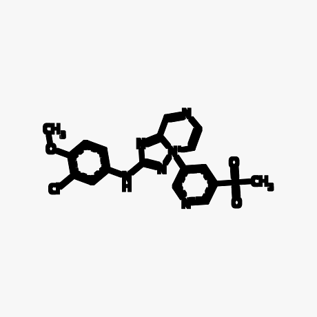 COc1ccc(NC2=N[N+]3(c4cncc(S(C)(=O)=O)c4)C=CN=CC3=N2)cc1Cl